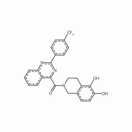 O=C(c1nc(-c2ccc(C(F)(F)F)cc2)nc2ccccc12)N1CCc2c(ccc(O)c2O)C1